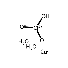 O.O.[Cu].[O-][Cl+2]([O-])O